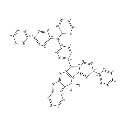 CC1(C)C2=C(C=C3N=c4ccccc4=C31)C(c1ccc(N(c3ccccc3)c3ccc(-c4ccccc4)cc3)cc1)=C1C=CC(c3ccccc3)C=C12